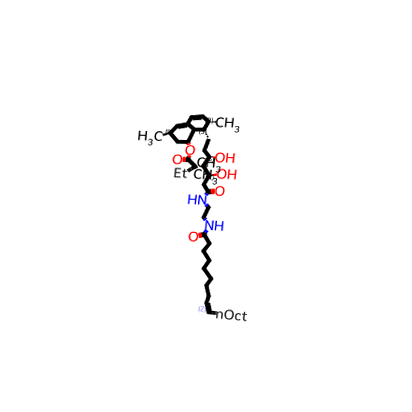 CCCCCCCC/C=C\CCCCCCCC(=O)NCCNC(=O)C[C@H](O)C[C@@H](O)CC[C@@H]1C2C(=C[C@H](C)CC2OC(=O)C(C)(C)CC)C=C[C@@H]1C